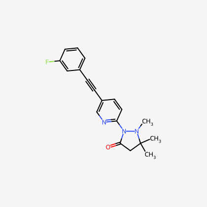 CN1N(c2ccc(C#Cc3cccc(F)c3)cn2)C(=O)CC1(C)C